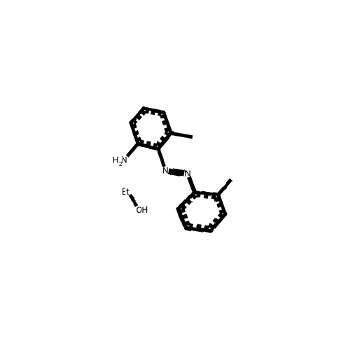 CCO.Cc1ccccc1N=Nc1c(C)cccc1N